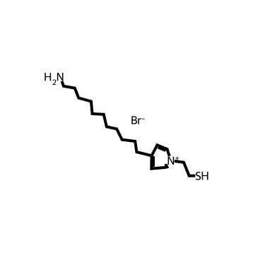 NCCCCCCCCCCCc1cc[n+](CCS)cc1.[Br-]